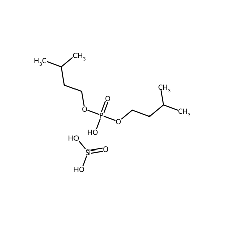 CC(C)CCOP(=O)(O)OCCC(C)C.O=[Si](O)O